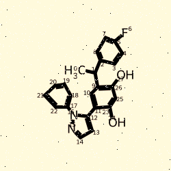 CC(c1ccc(F)cc1)c1cc(-c2ccnn2-c2ccccc2)c(O)cc1O